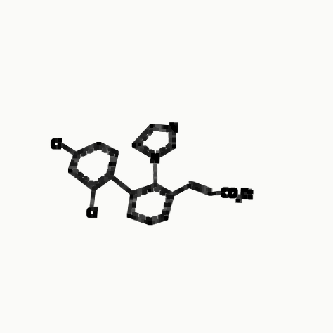 CCOC(=O)C=Cc1cccc(-c2ccc(Cl)cc2Cl)c1-n1ccnc1